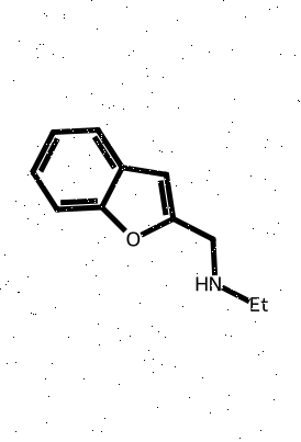 CCNCc1cc2ccccc2o1